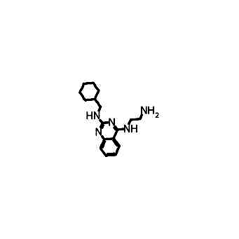 NCCNc1nc(NCC2CCCCC2)nc2ccccc12